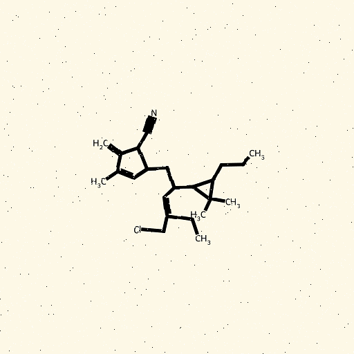 C=C1C(C)=CC(CC(/C=C(\CC)CCl)C2C(CCC)C2(C)C)C1C#N